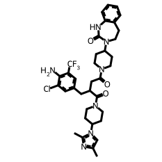 Cc1cn(C2CCN(C(=O)C(CC(=O)N3CCC(N4CCc5ccccc5NC4=O)CC3)Cc3cc(Cl)c(N)c(C(F)(F)F)c3)CC2)c(C)n1